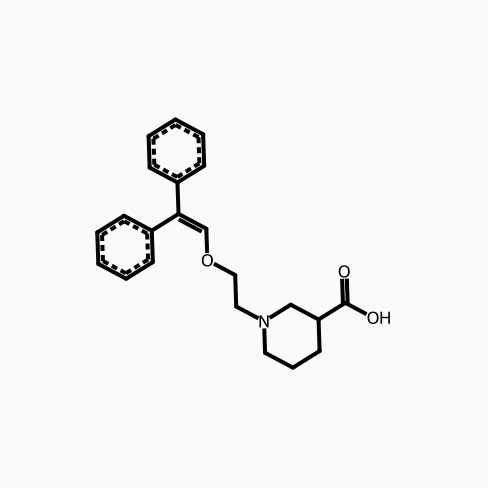 O=C(O)C1CCCN(CCOC=C(c2ccccc2)c2ccccc2)C1